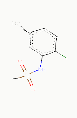 CS(=O)(=O)Nc1cc(C#N)ccc1F